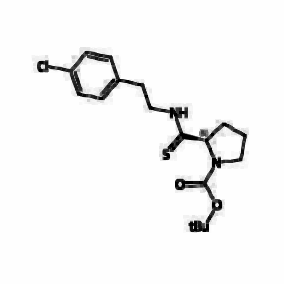 CC(C)(C)OC(=O)N1CCC[C@@H]1C(=S)NCCc1ccc(Cl)cc1